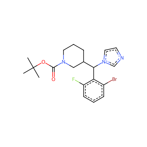 CC(C)(C)OC(=O)N1CCCC(C(c2c(F)cccc2Br)n2ccnc2)C1